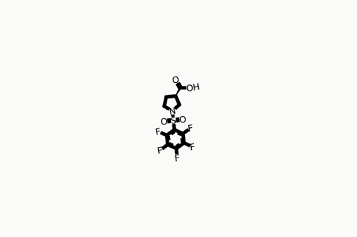 O=C(O)[C@@H]1CCN(S(=O)(=O)c2c(F)c(F)c(F)c(F)c2F)C1